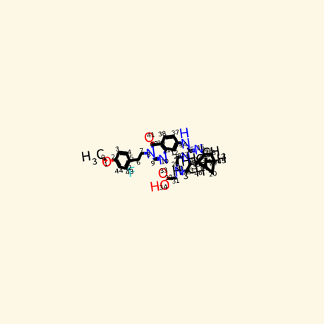 COc1ccc(CCn2cnc3cc(N/C(=N/C4C[C@@H]5C[C@H]([C@@H]4C)C5(C)C)N4CCN(CC(=O)O)CC4)ccc3c2=O)c(F)c1